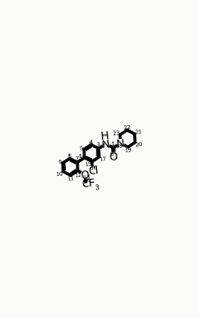 O=C(Nc1ccc(-c2ccccc2OC(F)(F)F)c(Cl)c1)N1CCCCC1